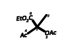 CCOC(=O)C(C)(OC(C)=O)C(C)=O